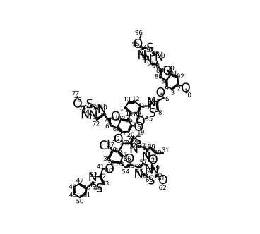 COc1cc(OCc2csc(-c3cccc(-c4c(OC)cc(OC(c5csc(-c6cc(C)on6)n5)c5c(Cl)cc(OCc6csc(-c7ccccc7)n6)c6cc(-c7cn8nc(OC)sc8n7)oc56)c5cc(-c6cn7nc(OC)sc7n6)oc45)c3OC)n2)c2cc(-c3cn4nc(OC)sc4n3)oc2c1